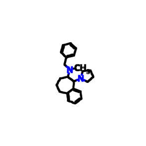 CN(Cc1ccccc1)C1CCCc2ccccc2C1N1CCCC1